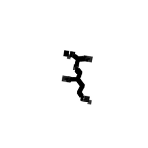 CCCC(O)C=NC(=N)N